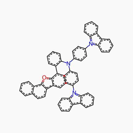 c1ccc(N(c2ccc(-n3c4ccccc4c4ccccc43)cc2)c2ccc(-n3c4ccccc4c4ccccc43)cc2)c(-c2cccc3c2oc2c4ccccc4ccc32)c1